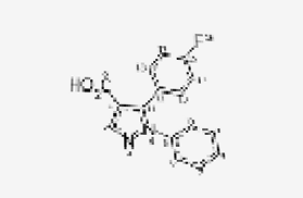 O=C(O)c1cnn(-c2ccccc2)c1-c1ccc(F)cc1